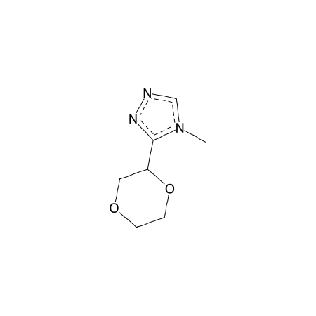 Cn1cnnc1C1COCCO1